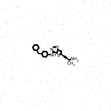 C[C@@H](N)C#Cc1cc2ncnc(Nc3ccc(Cc4ccccc4)cc3)c2s1